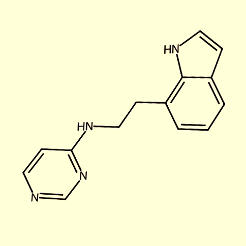 c1cc(CCNc2ccncn2)c2[nH]ccc2c1